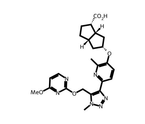 COc1ccnc(OCc2c(-c3ccc(O[C@@H]4C[C@@H]5CC[C@H](C(=O)O)[C@@H]5C4)c(C)n3)nnn2C)n1